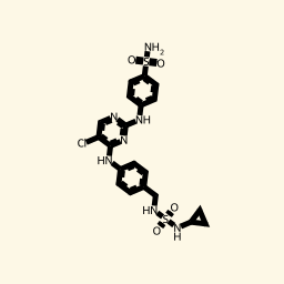 NS(=O)(=O)c1ccc(Nc2ncc(Cl)c(Nc3ccc(CNS(=O)(=O)NC4CC4)cc3)n2)cc1